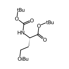 CC(C)COCC[C@H](NC(=O)OC(C)(C)C)C(=O)OC(C)(C)C